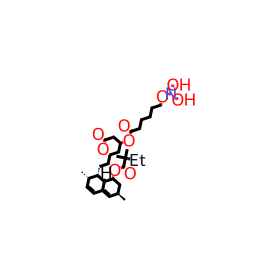 CCC(C)(C)C(=O)O[C@H]1C[C@@H](C)C=C2C=C[C@H](C)[C@H](CCC3CC(OC(=O)CCCCCON(O)O)CC(=O)O3)[C@H]21